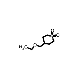 CCOCC1CCS(=O)(=O)CC1